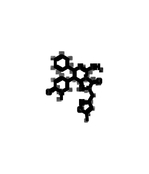 Cc1cc(Cn2nc3c(-c4ccc(=O)n(C)c4)c(-c4ccccc4)nc(N)n3c2=O)no1